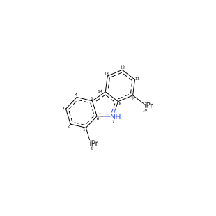 CC(C)c1cccc2c1[nH]c1c(C(C)C)cccc12